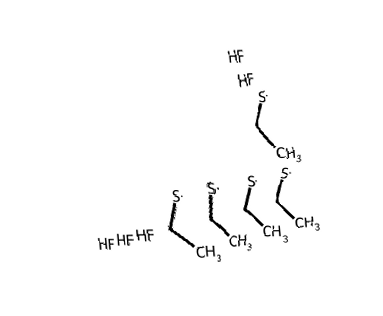 CC[S].CC[S].CC[S].CC[S].CC[S].F.F.F.F.F